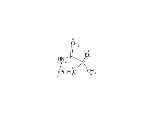 C=C(NCCC)C(C)(C)CC